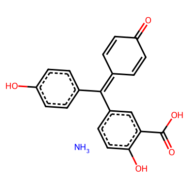 N.O=C1C=CC(=C(c2ccc(O)cc2)c2ccc(O)c(C(=O)O)c2)C=C1